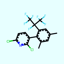 Cc1[c]c(C)c(-c2ccc(Cl)nc2Cl)c(C(F)(C(F)(F)F)C(F)(F)F)c1